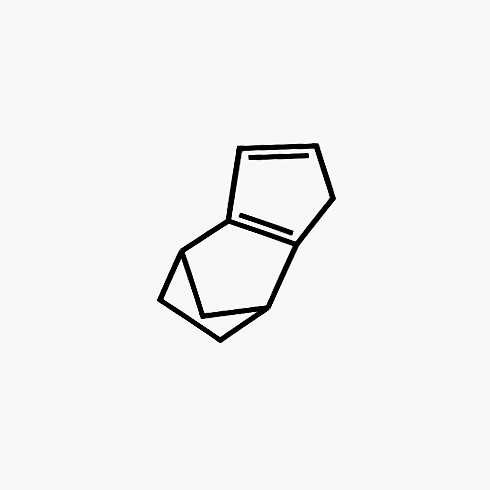 C1=CC2=C(C1)C1CCC2C1